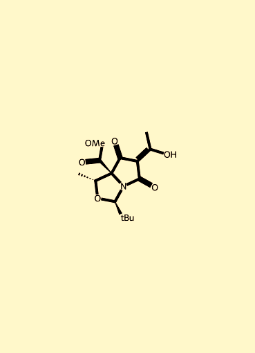 COC(=O)[C@@]12C(=O)/C(=C(\C)O)C(=O)N1[C@@H](C(C)(C)C)O[C@@H]2C